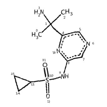 CC(C)(N)c1cncc(NS(=O)(=O)C2CC2)n1